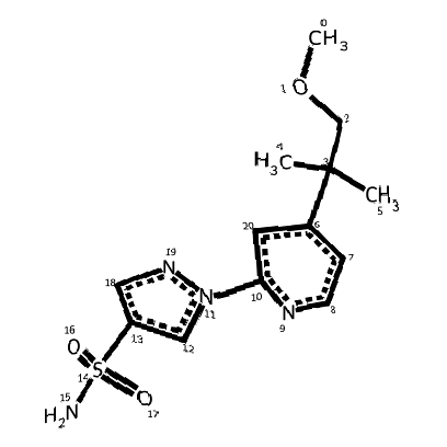 COCC(C)(C)c1ccnc(-n2cc(S(N)(=O)=O)cn2)c1